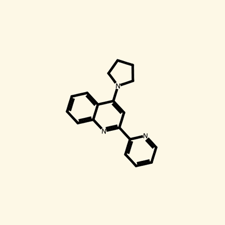 c1ccc(-c2cc(N3CCCC3)c3ccccc3n2)nc1